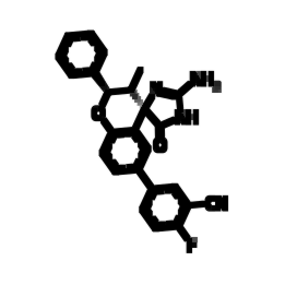 CC1[C@H](c2ccccc2)Oc2ccc(-c3ccc(F)c(C#N)c3)cc2[C@]12N=C(N)NC2=O